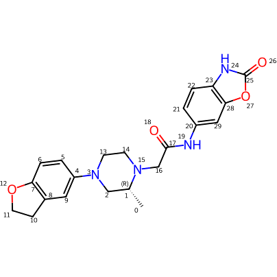 C[C@@H]1CN(c2ccc3c(c2)CCO3)CCN1CC(=O)Nc1ccc2[nH]c(=O)oc2c1